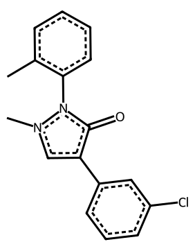 Cc1ccccc1-n1c(=O)c(-c2cccc(Cl)c2)cn1C